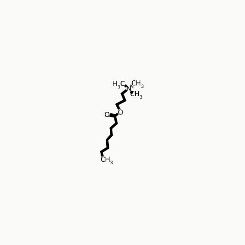 CCCCCCCC(=O)OCCC[N+](C)(C)C